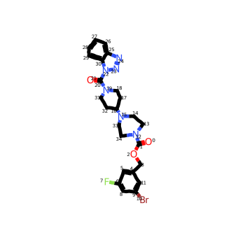 O=C(OCc1cc(F)cc(Br)c1)N1CCN(C2CCN(C(=O)n3nnc4ccccc43)CC2)CC1